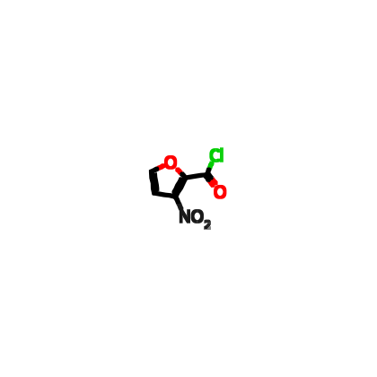 O=C(Cl)c1occc1[N+](=O)[O-]